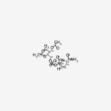 CC(=O)OCC(C)C(COS(=O)(=O)ON1C(=O)N2C[C@H]1CC[C@H]2C(N)=O)OC(C)=O